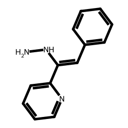 NNC(=Cc1ccccc1)c1ccccn1